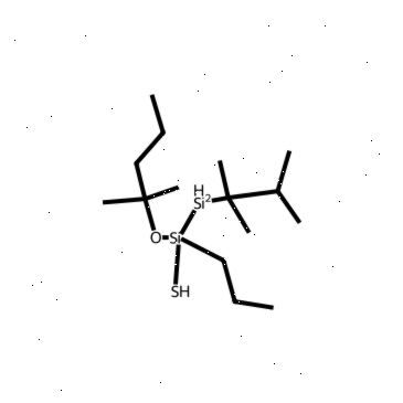 CCCC(C)(C)O[Si](S)(CCC)[SiH2]C(C)(C)C(C)C